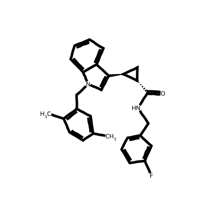 Cc1ccc(C)c(Cn2cc([C@H]3C[C@@H]3C(=O)NCc3cccc(F)c3)c3ccccc32)c1